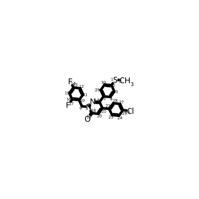 CSc1ccc(-c2nn(Cc3ccc(F)cc3F)c(=O)cc2-c2ccc(Cl)cc2)cc1